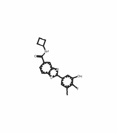 Cc1cc(-c2nc3cc(C(=O)NC4CCC4)ccc3o2)cc(O)c1F